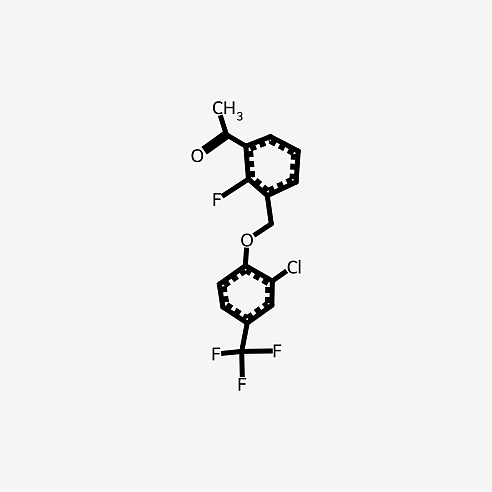 CC(=O)c1cccc(COc2ccc(C(F)(F)F)cc2Cl)c1F